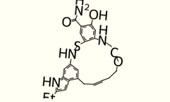 CCc1cc2c3cc(cc2[nH]1)NSc1cc(C(N)=O)c(O)cc1NCCOCC/C=C/C3